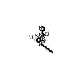 CCCCCCCCN(C)c1ccc(N)c(-c2nc(-c3cccnc3)c(Cl)s2)c1C(F)(F)F